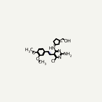 COc1ccc(/C=C/c2c(Cl)nc(N)nc2N[C@H]2CC[C@@H](CO)C2)cc1OC